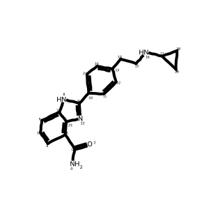 NC(=O)c1cccc2[nH]c(-c3ccc(CCNC4CC4)cc3)nc12